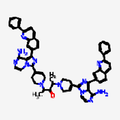 CC(C(=O)C(C)N1CC=C(c2nc(-c3ccc4ccc(-c5ccccc5)nc4c3)c3c(N)nccn23)CC1)N1CC=C(c2nc(-c3ccc4ccc(-c5ccccc5)nc4c3)c3c(N)nccn23)CC1